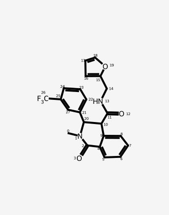 CN1C(=O)c2ccccc2C(C(=O)NCc2ccco2)C1c1cccc(C(F)(F)F)c1